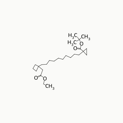 CCOC(=O)CC1(CCCCCCCCCCC2(C(=O)OC(C)(C)C)CC2)CCC1